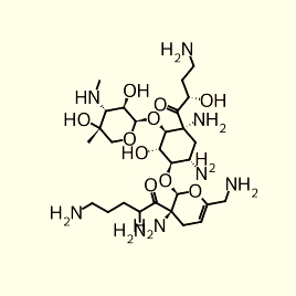 CN[C@@H]1[C@@H](O)[C@@H](O[C@@H]2[C@@H](O)[C@H](O[C@H]3OC(CN)=CC[C@]3(N)C(=O)C(N)CCCN)[C@@H](N)C[C@]2(N)C(=O)[C@@H](O)CCN)OC[C@]1(C)O